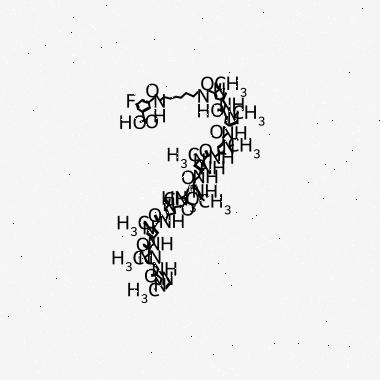 CC(=O)N[C@H](CCNC(=O)c1cc(NC(=O)c2cc(NC(=O)C3=NC(NC(=O)c4nccn4C)CN3C)cn2C)cn1C)C(=O)NC1=CN(C)C(C(=O)Nc2cc(C(=O)Nc3cc(C(=O)Nc4cc(C(=O)NCCCCCCCNC(=O)c5cc(F)cc(C(=O)O)c5)n(C)c4)n(C)c3)n(C)c2)N1